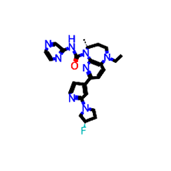 CCN1CC[C@@H](C)N(C(=O)Nc2cnccn2)c2nc(-c3ccnc(N4CC[C@H](F)C4)c3)ccc21